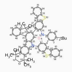 CC(C)(C)c1ccc(N2B3c4cc5c(cc4-n4c6cc7c(cc6c6c8c(c(c3c64)-c3cc4c(cc32)sc2ccccc24)C(C)(C)c2ccccc2-8)C(C)(C)CCC7(C)C)sc2ccccc25)cc1